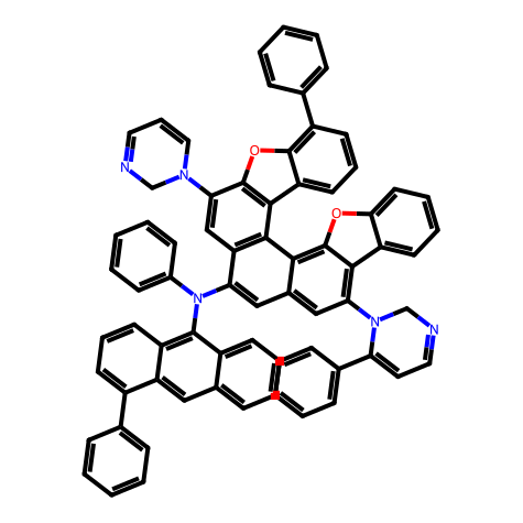 C1=CN(c2cc3c(N(c4ccccc4)c4c5ccccc5cc5c(-c6ccccc6)cccc45)cc4cc(N5CN=CC=C5c5ccccc5)c5c6ccccc6oc5c4c3c3c2oc2c(-c4ccccc4)cccc23)CN=C1